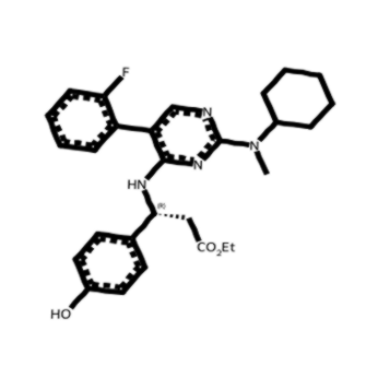 CCOC(=O)C[C@@H](Nc1nc(N(C)C2CCCCC2)ncc1-c1ccccc1F)c1ccc(O)cc1